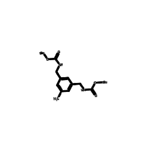 Cc1cc(CNC(=O)OC(C)(C)C)cc(CNC(=O)OC(C)(C)C)c1